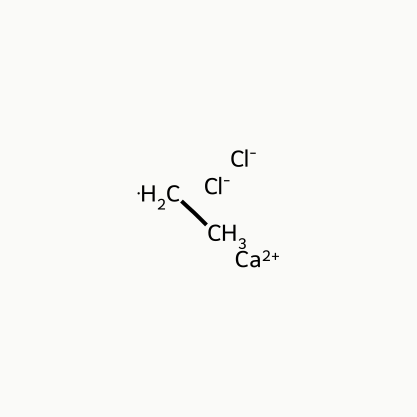 [CH2]C.[Ca+2].[Cl-].[Cl-]